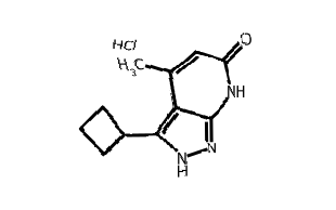 Cc1cc(=O)[nH]c2n[nH]c(C3CCC3)c12.Cl